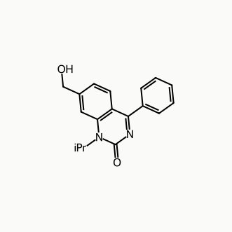 CC(C)n1c(=O)nc(-c2ccccc2)c2ccc(CO)cc21